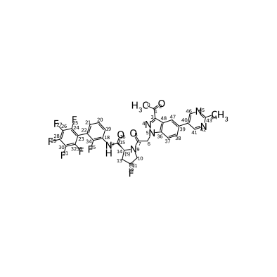 CC(=O)c1nn(CC(=O)N2C[C@H](F)C[C@H]2C(=O)Nc2cccc(-c3c(F)c(F)c(F)c(F)c3F)c2F)c2ccc(-c3cnc(C)nc3)cc12